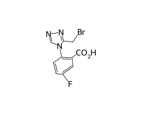 O=C(O)c1cc(F)ccc1-n1cnnc1CBr